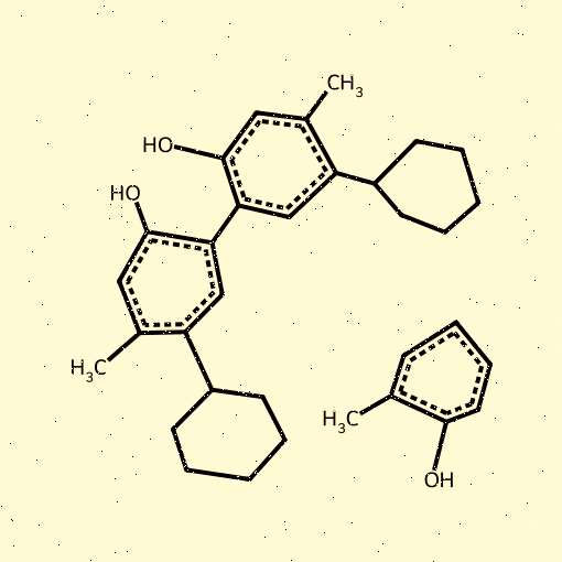 Cc1cc(O)c(-c2cc(C3CCCCC3)c(C)cc2O)cc1C1CCCCC1.Cc1ccccc1O